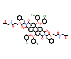 O=C(CCOC(=O)C(Cc1ccccc1)N1C(=O)c2cc(Oc3cccc(Cl)c3)c3c4c(Oc5cccc(Cl)c5)cc5c6c(cc(Oc7cccc(Cl)c7)c(c7c(Oc8cccc(Cl)c8)cc(c2c37)C1=O)c64)C(=O)N(C(Cc1ccccc1)C(=O)OCCC(=O)NCC1CO1)C5=O)NCC1CO1